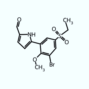 CCS(=O)(=O)c1cc(Br)c(OC)c(-c2ccc(C=O)[nH]2)c1